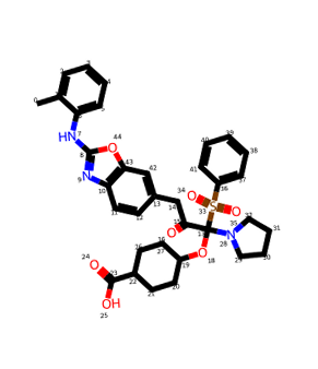 Cc1ccccc1Nc1nc2ccc(CC(=O)C(OC3CCC(C(=O)O)CC3)(N3CCCC3)S(=O)(=O)c3ccccc3)cc2o1